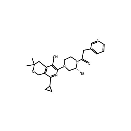 CC[C@@H]1CN(c2nc(C3CC3)c3c(c2C#N)CC(C)(C)OC3)CCN1C(=O)Cc1cccnc1